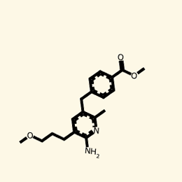 COCCCc1cc(Cc2ccc(C(=O)OC)cc2)c(C)nc1N